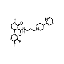 O=C(NCCCN1CCC(c2ccccn2)CC1)N1C(=O)NCCC1c1ccc(F)c(F)c1